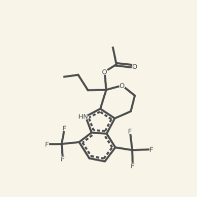 CCCC1(OC(C)=O)OCCc2c1[nH]c1c(C(F)(F)F)ccc(C(F)(F)F)c21